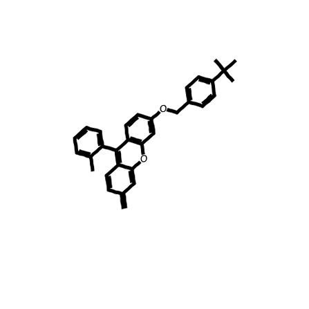 C=c1ccc2c(c1)Oc1cc(OCc3ccc(C(C)(C)C)cc3)ccc1C=2c1ccccc1C